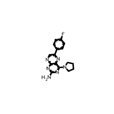 Nc1nc(N2CCCC2)c2nc(-c3ccc(F)cc3)cnc2n1